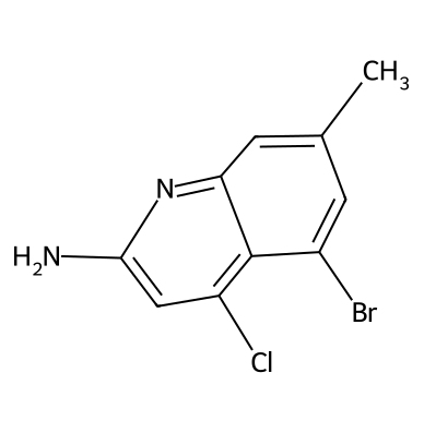 Cc1cc(Br)c2c(Cl)cc(N)nc2c1